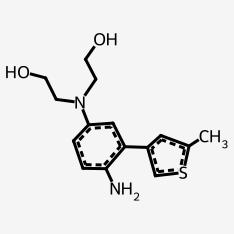 Cc1cc(-c2cc(N(CCO)CCO)ccc2N)cs1